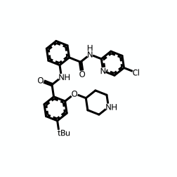 CC(C)(C)c1ccc(C(=O)Nc2ccccc2C(=O)Nc2ccc(Cl)cn2)c(OC2CCNCC2)c1